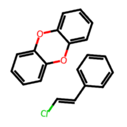 ClC=Cc1ccccc1.c1ccc2c(c1)Oc1ccccc1O2